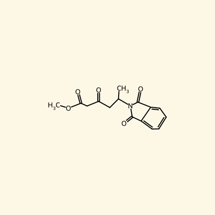 COC(=O)CC(=O)CC(C)N1C(=O)c2ccccc2C1=O